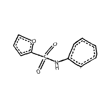 O=S(=O)(Nc1[c]cccc1)c1ccco1